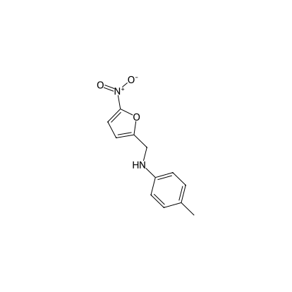 Cc1ccc(NCc2ccc([N+](=O)[O-])o2)cc1